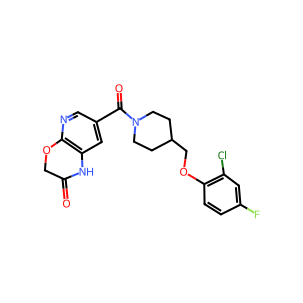 O=C1COc2ncc(C(=O)N3CCC(COc4ccc(F)cc4Cl)CC3)cc2N1